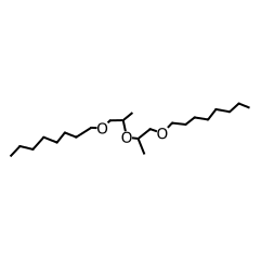 CCCCCCCCOCC(C)OC(C)COCCCCCCCC